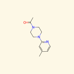 CC(=O)N1CCN(c2cc(C)ccn2)CC1